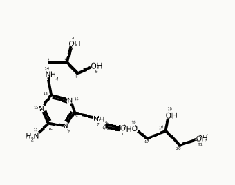 C=O.CC(O)CO.Nc1nc(N)nc(N)n1.OCC(O)CO